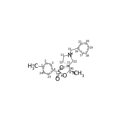 Cc1ccc(S(=O)(=O)O[C@H](C)[C@@H]2CCN(Cc3ccccc3)C2)cc1